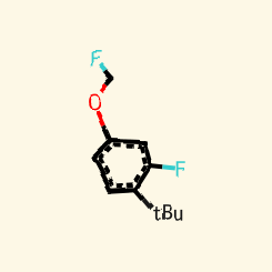 CC(C)(C)c1ccc(OCF)cc1F